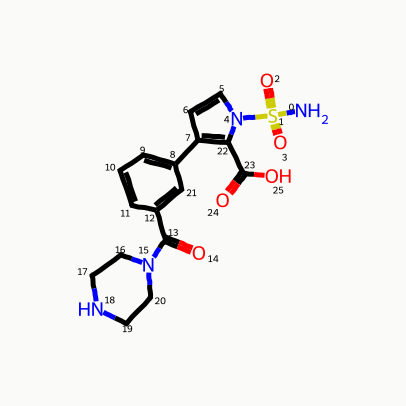 NS(=O)(=O)n1ccc(-c2cccc(C(=O)N3CCNCC3)c2)c1C(=O)O